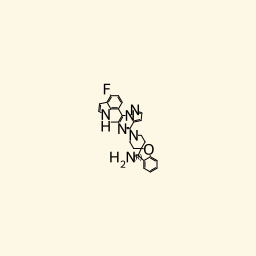 Cc1nc(N2CCC3(CC2)Oc2ccccc2[C@H]3N)c2ccnn2c1-c1ccc(F)c2cc[nH]c12